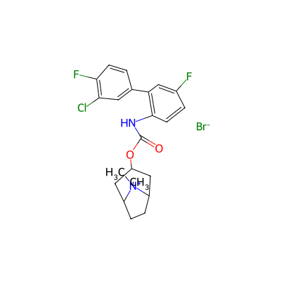 C[N+]1(C)C2CCC1CC(OC(=O)Nc1ccc(F)cc1-c1ccc(F)c(Cl)c1)C2.[Br-]